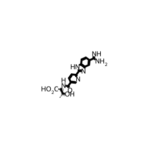 C[C@@H](O)[C@H](NC(=O)c1ccc(-c2nc3cc(C(=N)N)ccc3[nH]2)nc1)C(=O)O